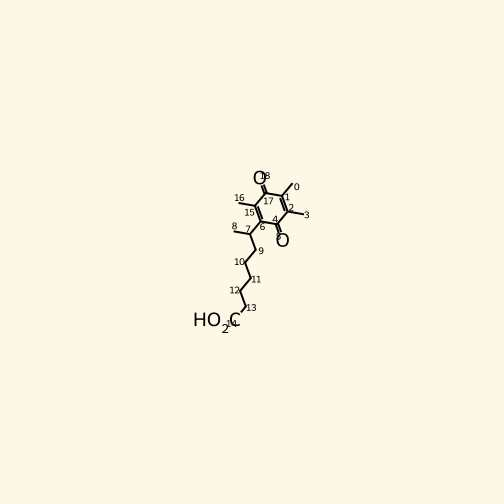 CC1=C(C)C(=O)C(C(C)CCCCCC(=O)O)=C(C)C1=O